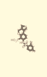 O=C(O)c1c(NS(=O)(=O)c2ccc(F)cc2Br)ccc2c1OCc1cnsc1-2